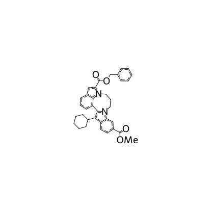 COC(=O)c1ccc2c(C3CCCCC3)c3n(c2c1)CCCn1c(C(=O)OCc2ccccc2)cc2cccc-3c21